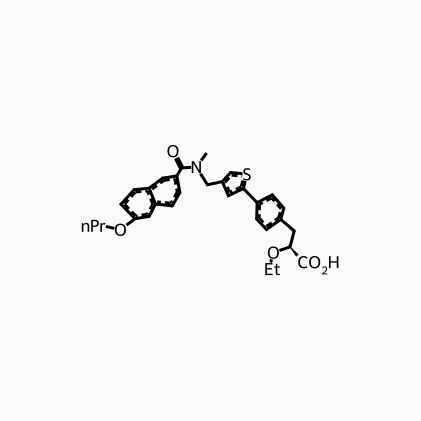 CCCOc1ccc2cc(C(=O)N(C)Cc3csc(-c4ccc(C[C@H](OCC)C(=O)O)cc4)c3)ccc2c1